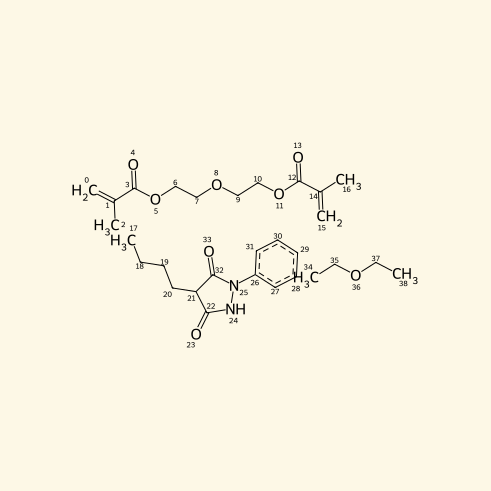 C=C(C)C(=O)OCCOCCOC(=O)C(=C)C.CCCCC1C(=O)NN(c2ccccc2)C1=O.CCOCC